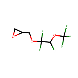 FC(OC(F)(F)F)C(F)(F)OCC1CO1